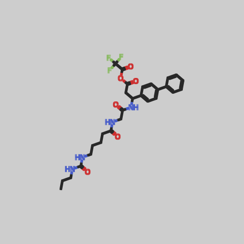 CCCNC(=O)NCCCCC(=O)NCC(=O)NC(CC(=O)OC(=O)C(F)(F)F)c1ccc(-c2ccccc2)cc1